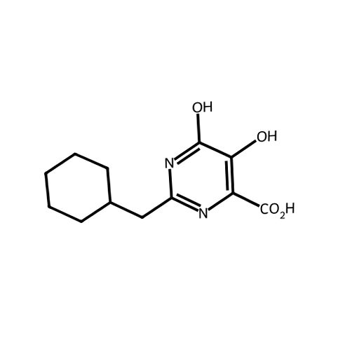 O=C(O)c1nc(CC2CCCCC2)nc(O)c1O